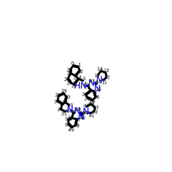 c1ccc2c(CNc3nc(N4CCCCC4)nc4ccccc34)cccc2c1.c1ccc2c(c1)CCN(c1nc(N3CCCCC3)nc3ccccc13)C2